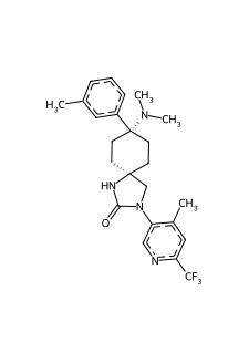 Cc1cccc([C@]2(N(C)C)CC[C@]3(CC2)CN(c2cnc(C(F)(F)F)cc2C)C(=O)N3)c1